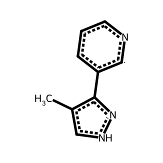 Cc1c[nH]nc1-c1[c]nccc1